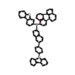 c1ccc(-c2cccc3cccc(-c4ccc(N(c5ccc6cc(-c7ccc(-n8c9ccccc9c9ccccc98)cc7)ccc6c5)c5ccc6c(c5)oc5ccccc56)cc4)c23)cc1